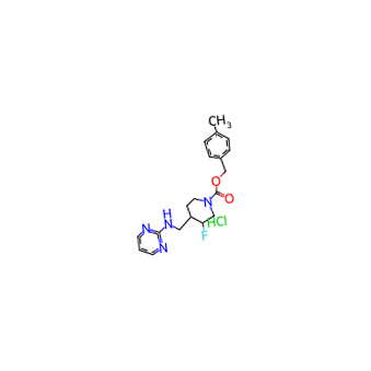 Cc1ccc(COC(=O)N2CCC(CNc3ncccn3)C(F)C2)cc1.Cl